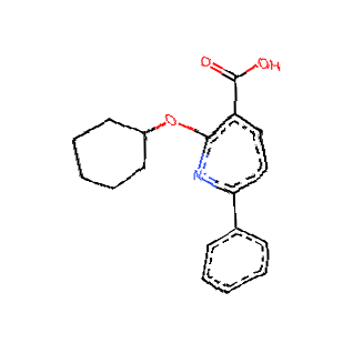 O=C(O)c1ccc(-c2ccccc2)nc1OC1CCCCC1